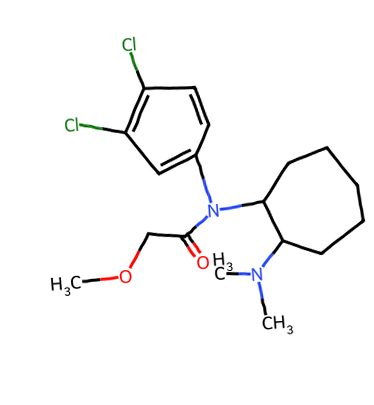 COCC(=O)N(c1ccc(Cl)c(Cl)c1)C1CCCCCC1N(C)C